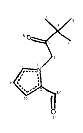 CC(C)(C)C(=O)Cn1cccc1C=O